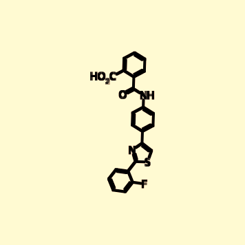 O=C(O)c1ccccc1C(=O)Nc1ccc(-c2csc(-c3ccccc3F)n2)cc1